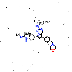 CN/C(=N\C#N)N[C@H]1CC[C@H](c2cc(-c3ccc(CN4CCOCC4)cc3)c3cnc(N[C@@H](C)COC)nn32)CC1